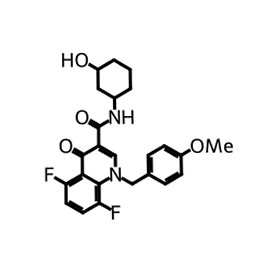 COc1ccc(Cn2cc(C(=O)NC3CCCC(O)C3)c(=O)c3c(F)ccc(F)c32)cc1